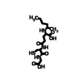 CCCCC(C)NC(CCC(=O)NC(CS)C(=O)NCC(=O)O)C(=O)O